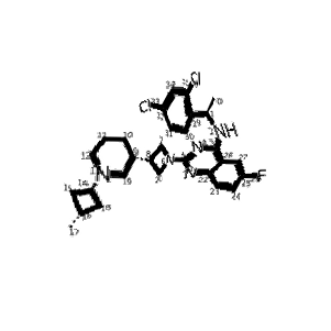 C[C@@H](Nc1nc(N2CC([C@H]3CCCN([C@H]4C[C@@H](C)C4)C3)C2)nc2ccc(F)cc12)c1ccc(Cl)cc1Cl